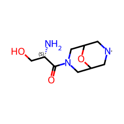 N[C@@H](CO)C(=O)N1CC2C[N]CC(C1)O2